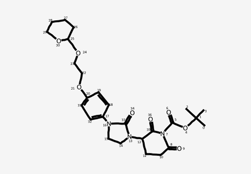 CC(C)(C)OC(=O)N1C(=O)CCC(N2CCN(c3ccc(OCCOC4CCCCO4)cc3)C2=O)C1=O